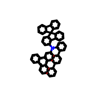 c1ccc(-c2ccc(-c3ccccc3N(c3ccc4c5ccccc5c5ccccc5c4c3)c3cccc4c3-c3ccccc3C43c4ccccc4-c4ccccc43)cc2)cc1